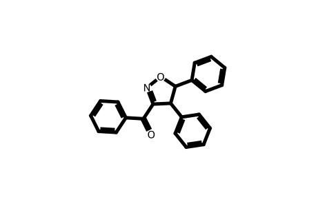 O=C(C1=NOC(c2ccccc2)C1c1ccccc1)c1ccccc1